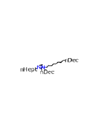 CCCCCCCCCCCCCCCCCC[n+]1ccn(CCCCCCC)c1CCCCCCCCCC